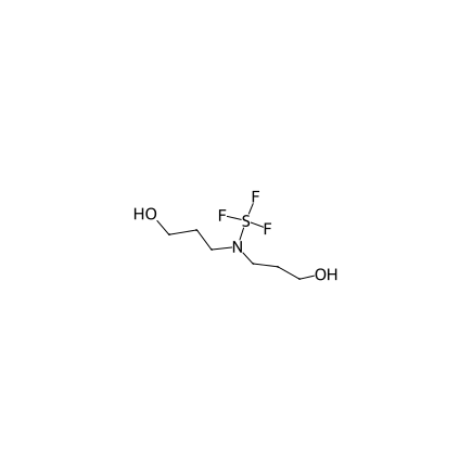 OCCCN(CCCO)S(F)(F)F